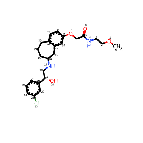 COCCNC(=O)COc1ccc2c(c1)CC(NC[C@H](O)c1cccc(Cl)c1)CCC2